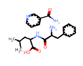 CC(C)CC(NC(=O)C(N)Cc1ccccc1)C(=O)O.NC(=O)c1cccnc1